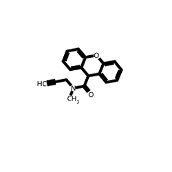 C#CCN(C)C(=O)C1c2ccccc2Oc2ccccc21